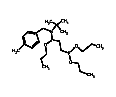 CCCOP(CCP(OCCC)N(Cc1ccc(C)cc1)C(C)(C)C)OCCC